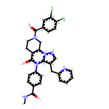 CNC(=O)c1ccc(-n2c(=O)c3c(n4ncc(Cc5ccccn5)c24)CN(C(=O)c2ccc(Br)c(Cl)c2)CC3)cc1